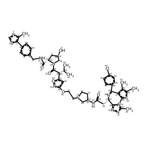 Cc1ncsc1-c1ccc(CNC(=O)[C@@H]2C[C@@H](O)CN2C(=O)[C@@H](c2cc(OCCN3CC[C@@H](NC(=O)C[C@@H]4N=C(c5ccc(Cl)cc5)c5c(sc(C)c5C)-n5c(C)nnc54)C3)no2)C(C)C)cc1